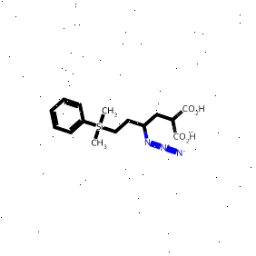 C[Si](C)(CCC(CC(C(=O)O)C(=O)O)N=[N+]=[N-])c1ccccc1